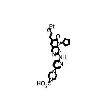 CCOCCc1cc2cnc(Nc3ccc(N4CCN(C(=O)O)CC4)cn3)nc2n(C2CCCC2)c1=O